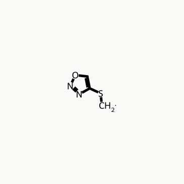 [CH2]Sc1conn1